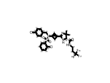 CC1(C)N=C(C23CC(N(Cc4ccc(Cl)cc4)S(=O)(=O)c4ccccc4Cl)(C2)C3)N[C@H]1C(=O)NCCC(F)(F)F